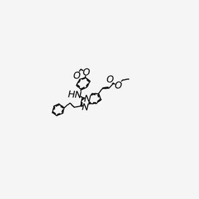 CCOC(=O)C=Cc1ccc2nc(CCc3ccccc3)c(Nc3ccc4c(c3)OCO4)n2c1